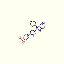 Cc1ccc(-n2c(-c3ccc(N4CCN(S(C)(=O)=O)CC4)nc3)nc3ccncc32)cc1